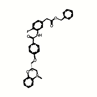 CN1C[C@@H](COc2ccc(C(=O)Nc3cc(CC(=O)OCc4ccccc4)ccc3F)cc2)Oc2ccccc21